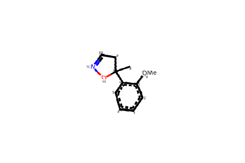 COc1ccccc1C1(C)C[C]=NO1